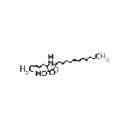 CCCCCCCCCCCC(=O)NC(CCCC)C(=O)O